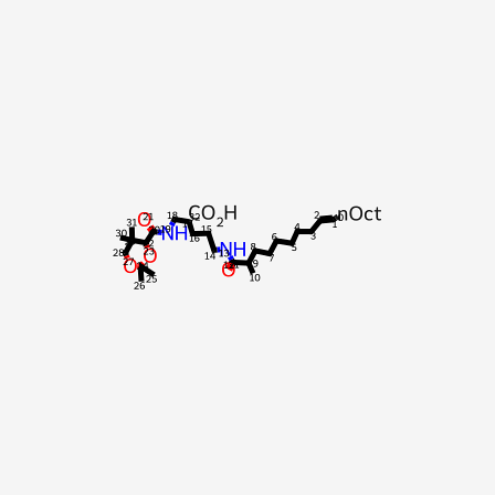 CCCCCCCCC=CCCCCCCC(C)C(=O)NCCCC(CNC(=O)C1OC(C)(C)OCC1(C)C)C(=O)O